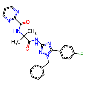 CC(C)(NC(=O)c1ncccn1)C(=O)Nc1nc(-c2ccc(F)cc2)n(Cc2ccccc2)n1